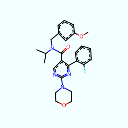 COc1cccc(CN(C(=O)c2cnc(N3CCOCC3)nc2-c2ccccc2F)C(C)C)c1